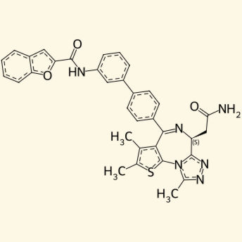 Cc1sc2c(c1C)C(c1ccc(-c3cccc(NC(=O)c4cc5ccccc5o4)c3)cc1)=N[C@@H](CC(N)=O)c1nnc(C)n1-2